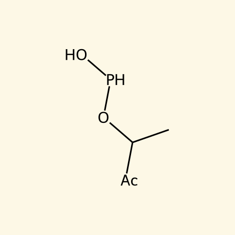 CC(=O)C(C)OPO